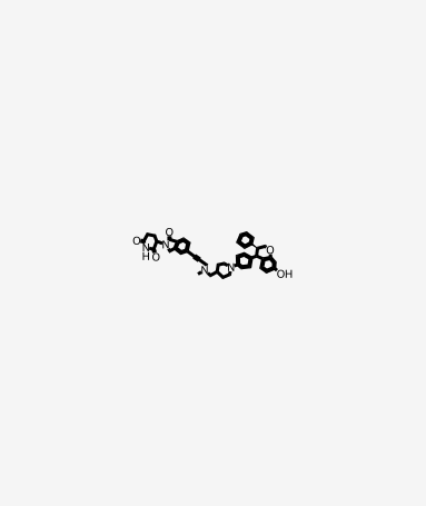 CN(CC#Cc1ccc2c(c1)CN(C1CCC(=O)NC1=O)C2=O)CC1CCN(c2ccc(C3c4ccc(O)cc4OC[C@@H]3c3ccccc3)cc2)CC1